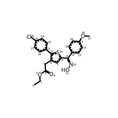 CCOC(=O)Cc1cc(C(=NO)c2ccc(OC)cc2)sc1-c1ccc(Cl)cc1